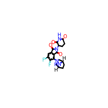 O=C1CCC(N2C(=O)c3cc(F)c(F)c(N4C[C@H]5CC[C@@H](C4)N5)c3C2=O)C(=O)N1